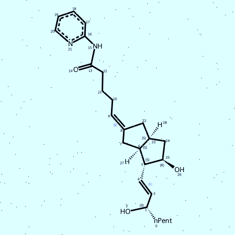 CCCCC[C@H](O)/C=C/[C@@H]1[C@H]2C/C(=C/CCCC(=O)Nc3ccccn3)C[C@H]2C[C@H]1O